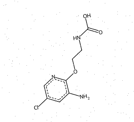 Nc1cc(Cl)cnc1OCCNC(=O)O